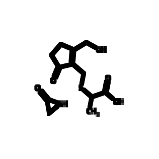 CC(SCC1=C(CO)CCC1=O)C(=O)O.O=C1CN1